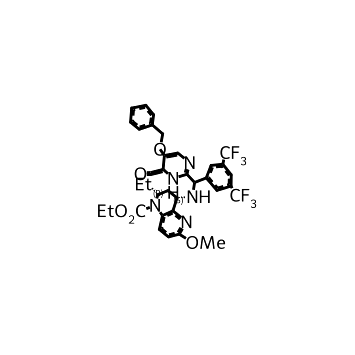 CCOC(=O)N1c2ccc(OC)nc2[C@@H](NC(C2=NC=C(OCc3ccccc3)C(=C=O)N2)c2cc(C(F)(F)F)cc(C(F)(F)F)c2)C[C@H]1CC